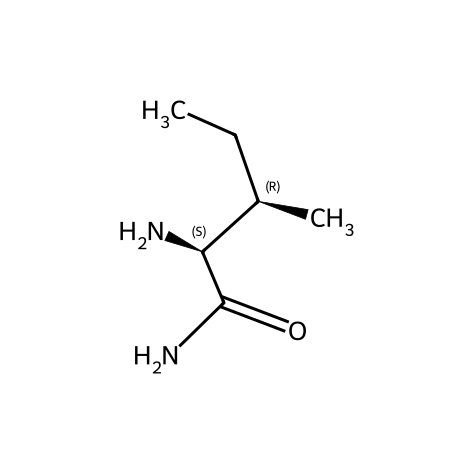 CC[C@@H](C)[C@H](N)C(N)=O